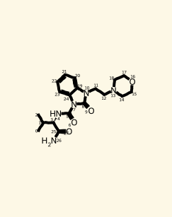 CC(C)[C@H](NC(=O)n1c(=O)n(CCN2CCOCC2)c2ccccc21)C(N)=O